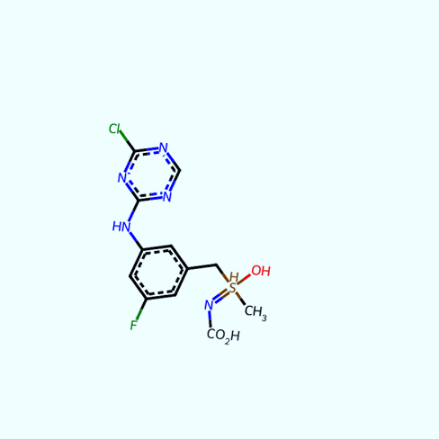 C[SH](O)(Cc1cc(F)cc(Nc2ncnc(Cl)n2)c1)=NC(=O)O